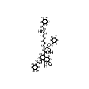 O=C(OCc1ccccc1)N(CCCCCCNCCc1ccccc1)C[C@@H](O)c1ccc(OCc2ccccc2)c2[nH]c(=O)ccc12